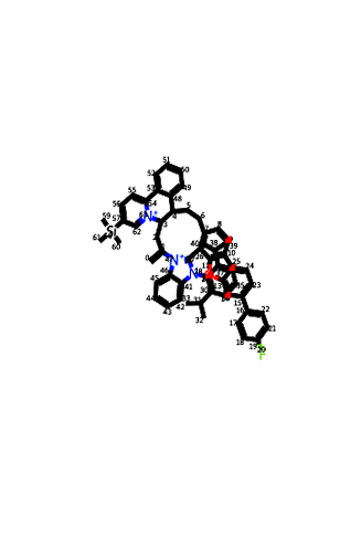 C=C1CC2C(CCc3ccc4c(oc5cc(-c6ccc(F)cc6)ccc54)c3-c3n(-c4c(C(C)C)cccc4C(C)C)c4ccccc4[n+]31)c1ccccc1-c1ccc([Si](C)(C)C)c[n+]12